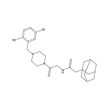 N#Cc1ccc(Br)cc1CN1CCN(C(=O)CNC(=O)CC23CC4CC(CC(C4)C2)C3)CC1